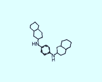 c1cc(NC2CCC3CCCCC3C2)ccc1NC1CCC2CCCCC2C1